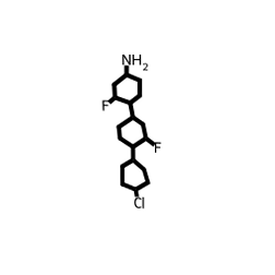 NC1CCC(C2CCC(C3CCC(Cl)CC3)C(F)C2)C(F)C1